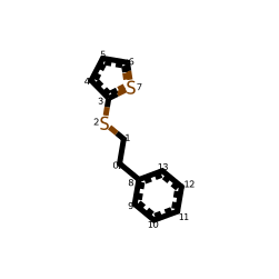 [CH](CSc1cccs1)c1ccccc1